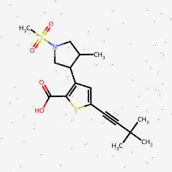 CC1CN(S(C)(=O)=O)CC1c1cc(C#CC(C)(C)C)sc1C(=O)O